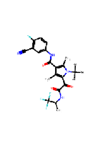 [2H]C([2H])([2H])n1c(C)c(C(=O)Nc2ccc(F)c(C#N)c2)c(C)c1C(=O)C(=O)NC(C)C(F)(F)F